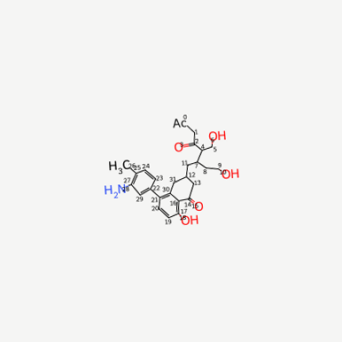 CC(=O)CC(=O)C(CO)C(CCO)CC1CC(=O)c2c(O)ccc(-c3ccc(C)c(N)c3)c2C1